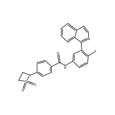 O=C(Nc1ccc(F)c(-c2nccc3ccccc23)c1)c1ccc(N2CCS2(=O)=O)cc1